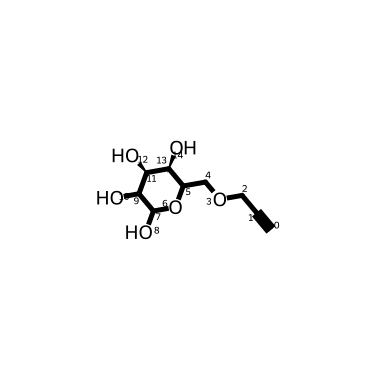 C#CCOCC1OC(O)C(O)[C@@H](O)[C@H]1O